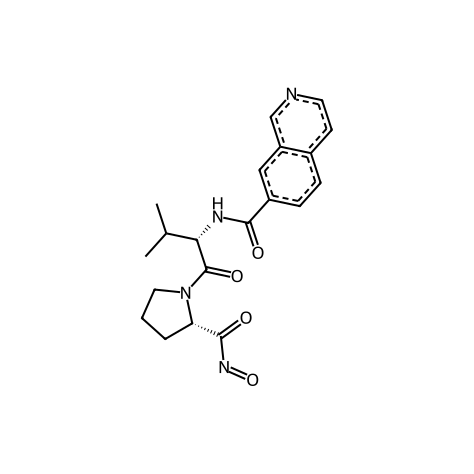 CC(C)[C@H](NC(=O)c1ccc2ccncc2c1)C(=O)N1CCC[C@H]1C(=O)N=O